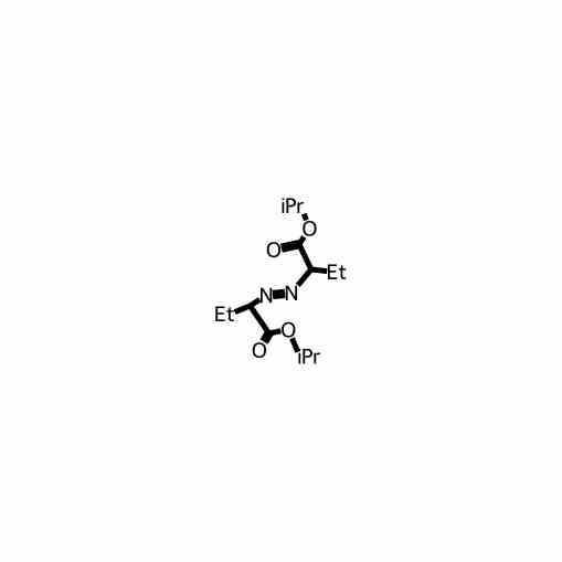 CCC(N=NC(CC)C(=O)OC(C)C)C(=O)OC(C)C